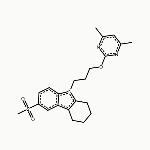 Cc1cc(C)nc(OCCCn2c3c(c4cc(S(C)(=O)=O)ccc42)CCCC3)n1